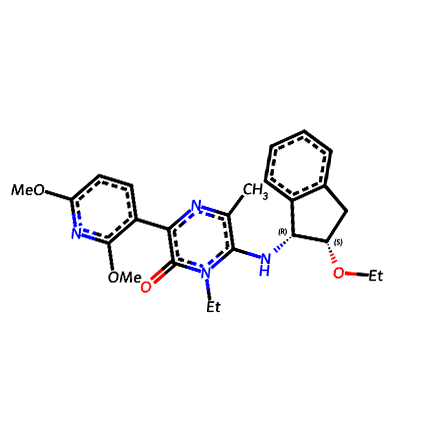 CCO[C@H]1Cc2ccccc2[C@H]1Nc1c(C)nc(-c2ccc(OC)nc2OC)c(=O)n1CC